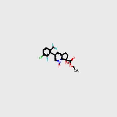 CCOC(=O)C1(O)CCc2cc(-c3c(C(F)F)ccc(Cl)c3F)c[n+]([O-])c21